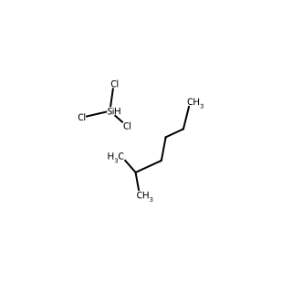 CCCCC(C)C.Cl[SiH](Cl)Cl